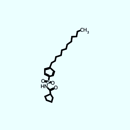 CCCCCCCCCCCCc1ccc(S(=O)(=O)NC(=O)C2CCCC2)cc1